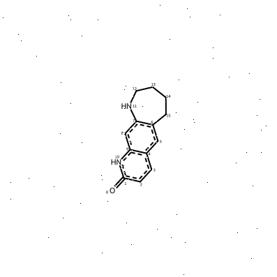 O=c1ccc2cc3c(cc2[nH]1)NCCCC3